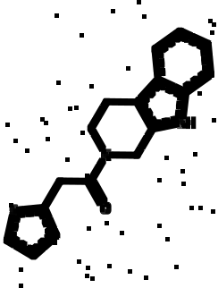 O=C(Cc1cccs1)N1CCc2c([nH]c3ccccc23)C1